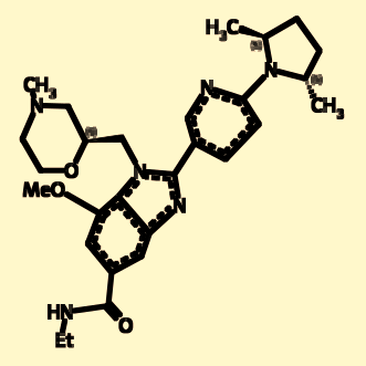 CCNC(=O)c1cc(OC)c2c(c1)nc(-c1ccc(N3[C@@H](C)CC[C@@H]3C)nc1)n2C[C@@H]1CN(C)CCO1